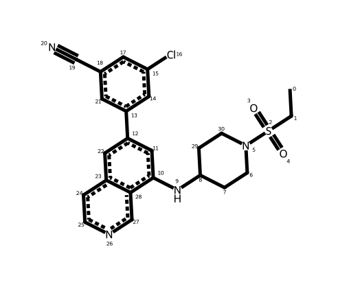 CCS(=O)(=O)N1CCC(Nc2cc(-c3cc(Cl)cc(C#N)c3)cc3ccncc23)CC1